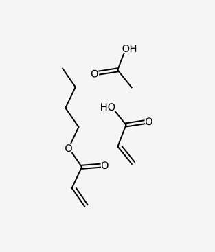 C=CC(=O)O.C=CC(=O)OCCCC.CC(=O)O